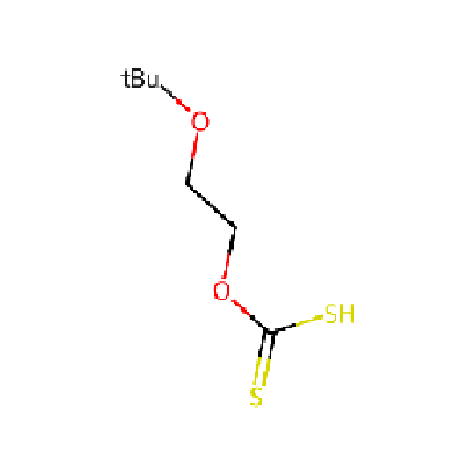 CC(C)(C)OCCOC(=S)S